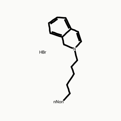 Br.CCCCCCCCCCCCCCN1C=Cc2ccccc2C1